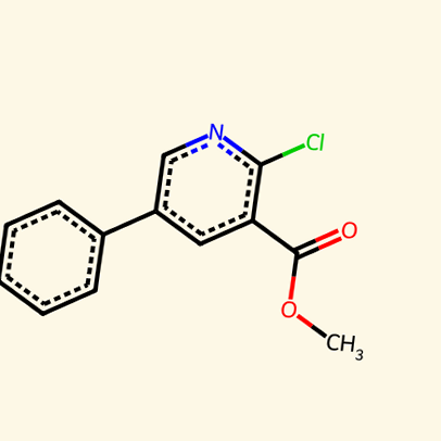 COC(=O)c1cc(-c2ccccc2)cnc1Cl